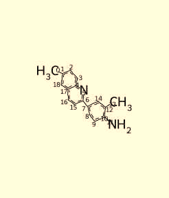 Cc1ccc2nc(-c3ccc(N)c(C)c3)ccc2c1